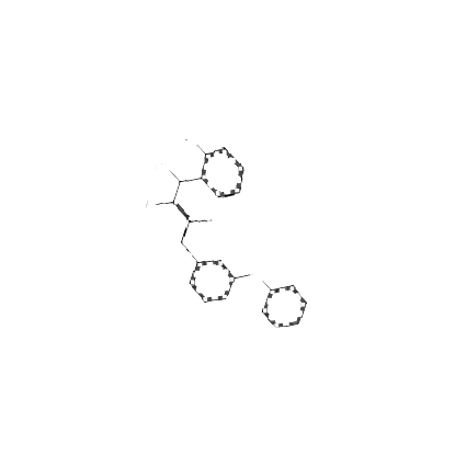 CC(C)C(C(F)=C(F)Cc1cccc(Oc2ccccc2)c1)c1ccccc1O